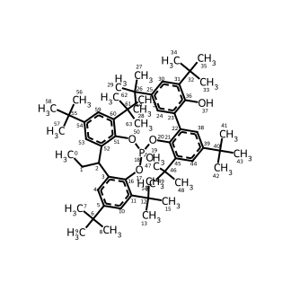 CCC1c2cc(C(C)(C)C)cc(C(C)(C)C)c2OP(=O)(Oc2c(-c3cc(C(C)(C)C)cc(C(C)(C)C)c3O)cc(C(C)(C)C)cc2C(C)(C)C)Oc2c1cc(C(C)(C)C)cc2C(C)(C)C